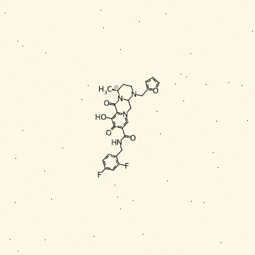 C[C@H]1CCN(Cc2ccco2)C2Cn3cc(C(=O)NCc4ccc(F)cc4F)c(=O)c(O)c3C(=O)N21